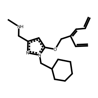 C=C/C=C(\C=C)COc1cc(CNC)nn1CC1CCCCC1